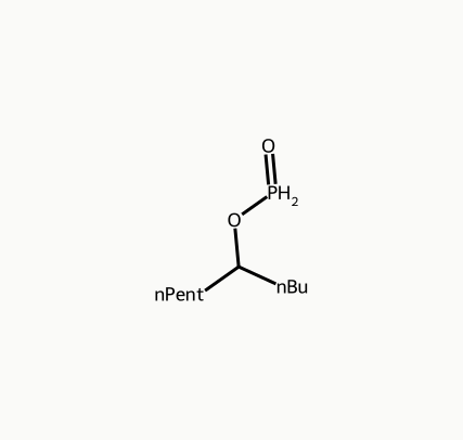 CCCCCC(CCCC)O[PH2]=O